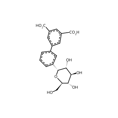 O=C(O)c1cc(C(=O)O)cc(-c2cccc([C@H]3O[C@H](CO)[C@@H](O)[C@H](O)[C@H]3O)c2)c1